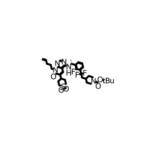 C=CCCCn1c(=O)c(C2CCS(=O)(=O)CC2)cc2c(N[C@H](C)c3cccc(C(F)(F)CC4CCN(C(=O)OC(C)(C)C)CC4)c3F)ncnc21